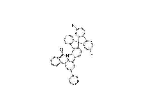 O=c1c2ccccc2c2cc(-c3ccccc3)cc3c4ccc5c(c4n1c23)-c1ccccc1C51c2cc(F)ccc2-c2ccc(F)cc21